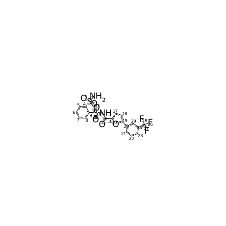 NS(=O)(=O)c1ccccc1S(=O)(=O)NC(=O)c1ccc(-c2cccc(C(F)(F)F)c2)o1